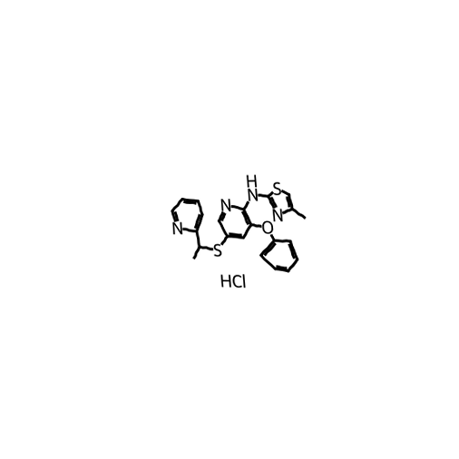 Cc1csc(Nc2ncc(SC(C)c3ccccn3)cc2Oc2ccccc2)n1.Cl